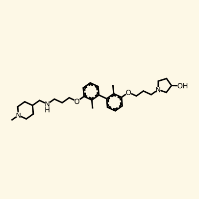 Cc1c(OCCCNCC2CCN(C)CC2)cccc1-c1cccc(OCCCN2CCC(O)C2)c1C